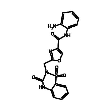 Nc1ccccc1NC(=O)c1coc(CN2C(=O)Nc3ccccc3S2(=O)=O)n1